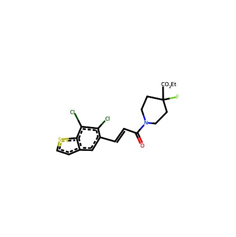 CCOC(=O)C1(F)CCN(C(=O)/C=C/c2cc3ccsc3c(Cl)c2Cl)CC1